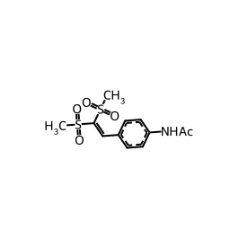 CC(=O)Nc1ccc(C=C(S(C)(=O)=O)S(C)(=O)=O)cc1